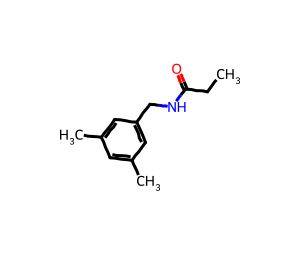 CCC(=O)NCc1cc(C)cc(C)c1